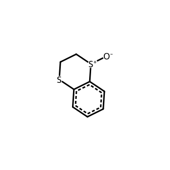 [O-][S+]1CCSc2ccccc21